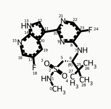 CNS(=O)(=O)C[C@H](Nc1nc(-c2c[nH]c3ncc(F)cc23)ncc1F)C(C)(C)C